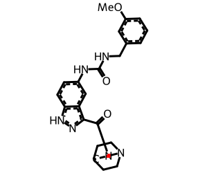 COc1cccc(CNC(=O)Nc2ccc3[nH]nc(C(=O)N4CC5CCN(CC5)C4)c3c2)c1